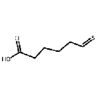 O=C(O)CCCCC=S